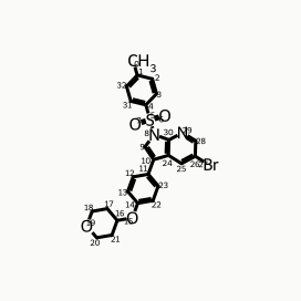 Cc1ccc(S(=O)(=O)n2cc(-c3ccc(OC4CCOCC4)cc3)c3cc(Br)cnc32)cc1